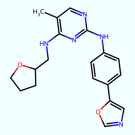 Cc1cnc(Nc2ccc(-c3cnco3)cc2)nc1NCC1CCCO1